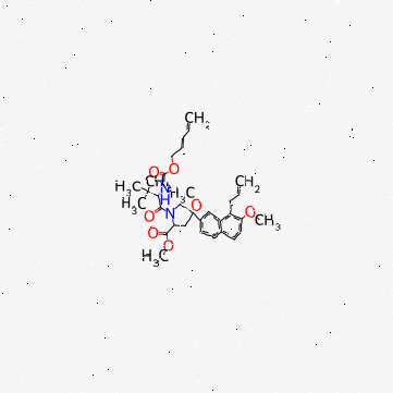 C=CCCCOC(=O)N[C@H](C(=O)N1CC(OC)(c2ccc3ccc(OC)c(CC=C)c3c2)CC1C(=O)OC)C(C)(C)C